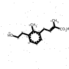 [CH2]c1c(CC=C(C)C(=O)O)cccc1CCO